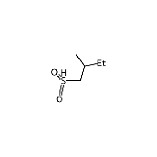 CCC(C)C[SH](=O)=O